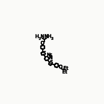 CCC(CC)COc1ccc(-c2ccc(-c3ccc(-c4ccc(-c5ccc(OCC(CN)CN)cc5)s4)c4nsnc34)s2)cc1